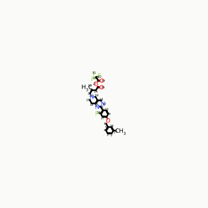 Cc1cccc(COc2ccc(-c3ncc4c(n3)CCN(CC(C)CC(=O)OC(=O)C(F)(F)F)C4)c(F)c2)c1